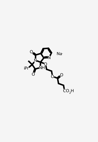 CC(C)C1(C)C(=O)NC2(OCCOC(=O)CCC(=O)O)c3ncccc3C(=O)N21.[Na]